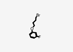 Fc1cccc(OCCCCBr)c1